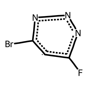 Fc1[c]c(Br)nnn1